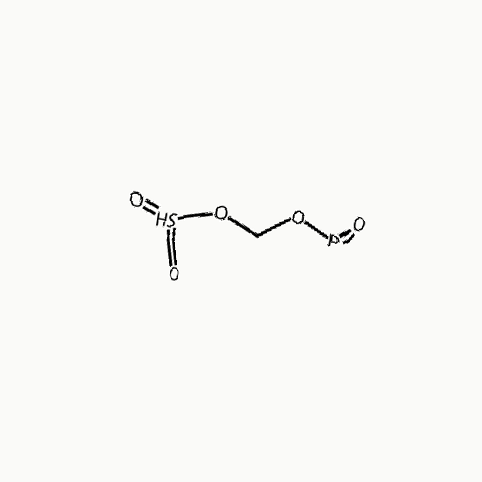 O=POCO[SH](=O)=O